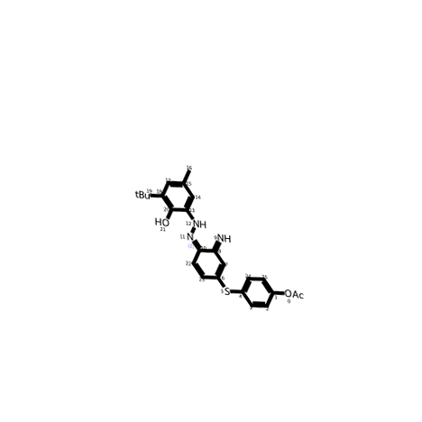 CC(=O)Oc1ccc(SC2=CC(=N)/C(=N\Nc3cc(C)cc(C(C)(C)C)c3O)C=C2)cc1